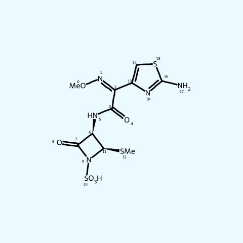 CO/N=C(\C(=O)N[C@@H]1C(=O)N(S(=O)(=O)O)[C@@H]1SC)c1csc(N)n1